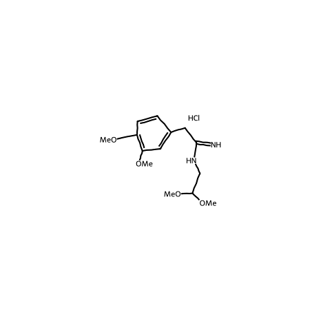 COc1ccc(CC(=N)NCC(OC)OC)cc1OC.Cl